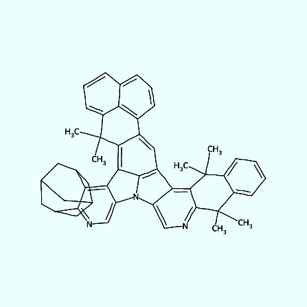 CC1(C)c2ccccc2C(C)(C)c2c1ncc1c2c2cc3c(c4c5c6c(ncc5n1c24)C1CC2CC(C1)CC6C2)C(C)(C)c1cccc2cccc-3c12